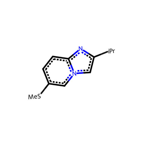 CSc1ccc2nc(C(C)C)cn2c1